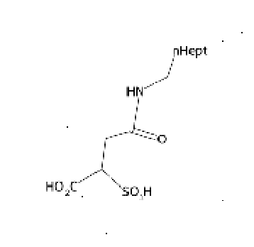 CCCCCCCCNC(=O)CC(C(=O)O)S(=O)(=O)O